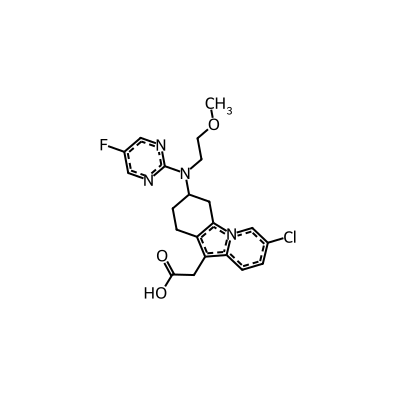 COCCN(c1ncc(F)cn1)C1CCc2c(CC(=O)O)c3ccc(Cl)cn3c2C1